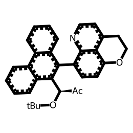 CC(=O)[C@@H](OC(C)(C)C)c1c(-c2ccc3c4c(ccnc24)CCO3)c2ccccc2c2ccccc12